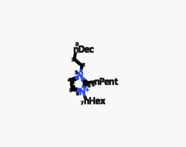 CCCCCCCCCCCCn1cc[n+](CCCCCC)c1CCCCC